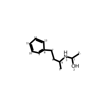 [CH2]C(O)NC(C)CCc1ccccc1